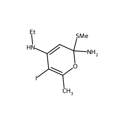 CCNC1=CC(N)(SC)OC(C)=C1I